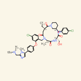 C[C@H]1C(=O)N[C@@H](CO)C(=O)N[C@@]2(Cc3ccc(Cl)cc3)CCCN(C2)C(=O)[C@H](CC(F)(F)F)CC(=O)N1Cc1ccc(Cl)cc1Oc1ccc(-c2cnc(CN(C)C(C)(C)C)n2C)cc1